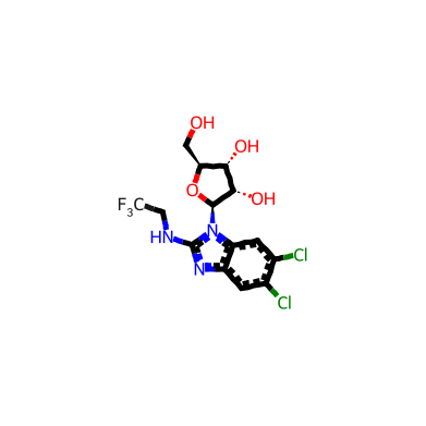 OC[C@@H]1O[C@H](n2c(NCC(F)(F)F)nc3cc(Cl)c(Cl)cc32)[C@@H](O)[C@H]1O